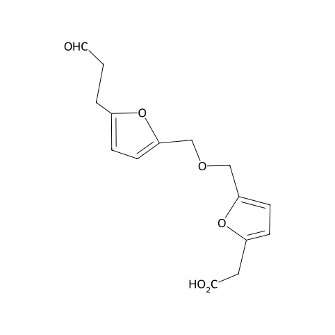 O=CCCc1ccc(COCc2ccc(CC(=O)O)o2)o1